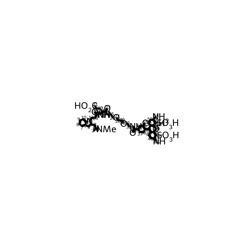 CNN(C)Cc1cc2ccccc2n1CCC(=O)N[C@@H](CCC(=O)O)C(=O)NCCOCCOCCNC(=O)c1ccc(-c2c3ccc(=N)c(S(=O)(=O)O)c-3oc3c(S(=O)(=O)O)c(N)ccc23)c(C(=O)O)c1